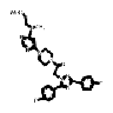 COCCN(C)c1cc(N2CCN(C(=O)Cn3nc(-c4ccc(F)cc4)nc3-c3ccc(F)cc3)CC2)ncn1